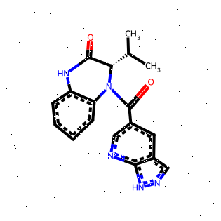 CC(C)[C@H]1C(=O)Nc2ccccc2N1C(=O)c1cnc2[nH]ncc2c1